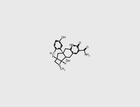 Cc1ccc(O)cc1[C@@]12Cc3[nH]c(=O)c(C(N)=O)cc3C[C@@]1(O)[C@H]1[C@H](CN1C)C2